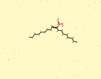 CCCCCCCC/C=C(\CCCCCCCC)[N+](=O)[O-]